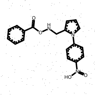 O=C(ONCc1cccn1-c1ccc([N+](=O)O)cc1)c1ccccc1